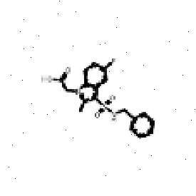 Cc1c(S(=O)(=O)NCc2ccccc2)c2cc(F)ccc2n1CC(=O)O